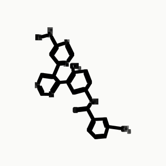 CCNc1cc(-c2cncnc2-c2cc(NC(=O)c3cccc(C(F)(F)F)c3)ccc2C)ncn1